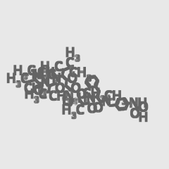 CCC(C)C(C(CC(=O)N1CCC[C@H]1C(OC)C(C)C(=O)NC(Cc1ccccc1)C(=O)N(C)Cc1ccc(NC(=O)O)cc1)OC)N(C)C(=O)C(NC(=O)C(C(C)C)N(C)C)C(C)C